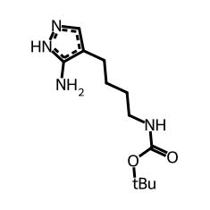 CC(C)(C)OC(=O)NCCCCc1cn[nH]c1N